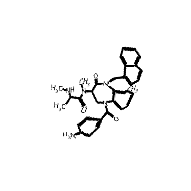 CNC(C)C(=O)N(C)C1CN(C(=O)c2ccc(N)cc2)c2ccccc2N(Cc2c(C)ccc3ccccc23)C1=O